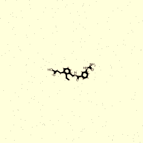 CCc1c(CCC(=O)O)cccc1CNC(=O)c1cccc(NC(N)=O)c1